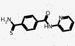 NC(=S)c1ccc(C(=O)Nc2ccccn2)cc1